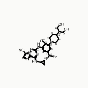 N#Cc1cnc2c(NC3CC3)nc(Nc3cc(C(F)F)cc(N4CCC(C(CO)CO)CC4)c3Cl)nn12